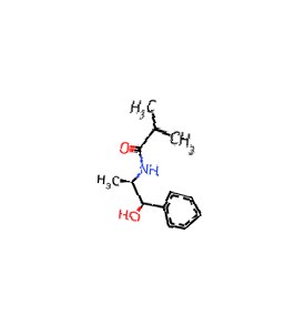 CC(C)C(=O)N[C@H](C)[C@H](O)c1ccccc1